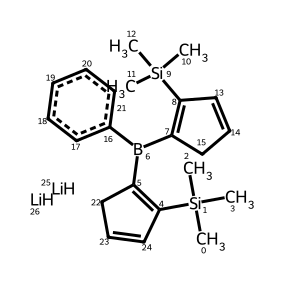 C[Si](C)(C)C1=C(B(C2=C([Si](C)(C)C)C=CC2)c2ccccc2)CC=C1.[LiH].[LiH]